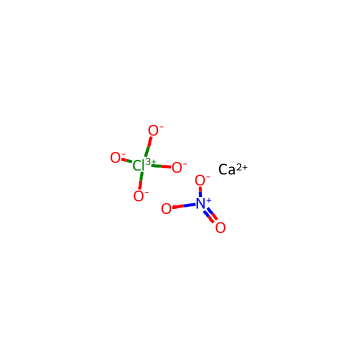 O=[N+]([O-])[O-].[Ca+2].[O-][Cl+3]([O-])([O-])[O-]